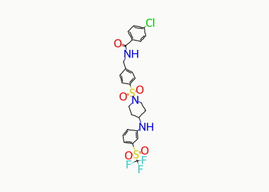 O=C(NCc1ccc(S(=O)(=O)N2CCC(Nc3cccc(S(=O)(=O)C(F)(F)F)c3)CC2)cc1)c1ccc(Cl)cc1